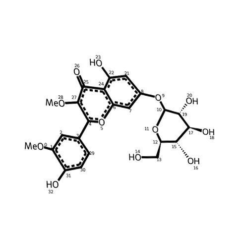 COc1cc(-c2oc3cc(OC4O[C@H](CO)[C@@H](O)[C@H](O)[C@H]4O)cc(O)c3c(=O)c2OC)ccc1O